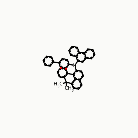 CC1(C)c2ccccc2-c2c(N(c3ccc(-c4ccccc4)cc3)c3cc4ccccc4c4ccccc34)ccc3cccc1c23